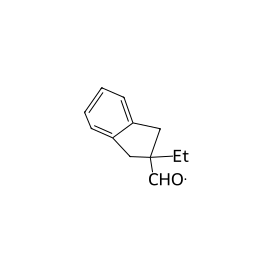 CCC1([C]=O)Cc2ccccc2C1